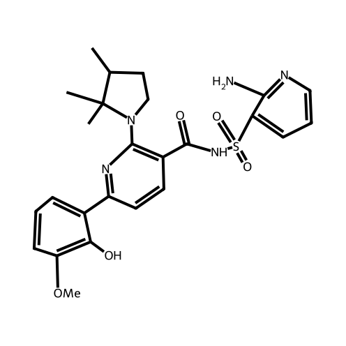 COc1cccc(-c2ccc(C(=O)NS(=O)(=O)c3cccnc3N)c(N3CCC(C)C3(C)C)n2)c1O